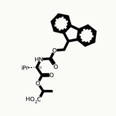 CC(OC(=O)[C@@H](NC(=O)OCC1c2ccccc2-c2ccccc21)C(C)C)C(=O)O